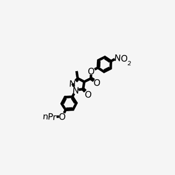 CCCOc1ccc(N2N=C(C)C(C(=O)Oc3ccc([N+](=O)[O-])cc3)C2=O)cc1